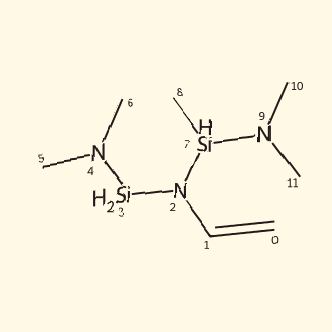 C=CN([SiH2]N(C)C)[SiH](C)N(C)C